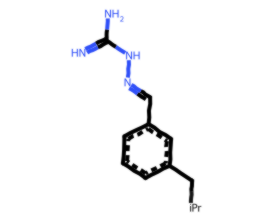 CC(C)Cc1cccc(/C=N/NC(=N)N)c1